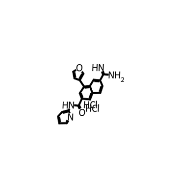 Cl.Cl.N=C(N)c1ccc2cc(C(=O)Nc3ccccn3)cc(-c3ccoc3)c2c1